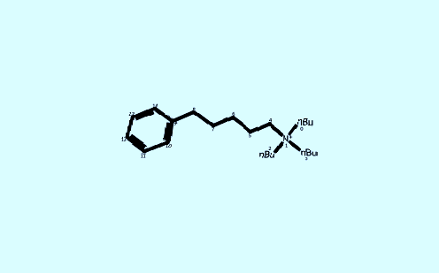 CCCC[N+](CCCC)(CCCC)CCCCCc1ccccc1